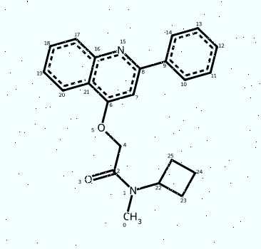 CN(C(=O)COc1cc(-c2ccccc2)nc2ccccc12)C1CCC1